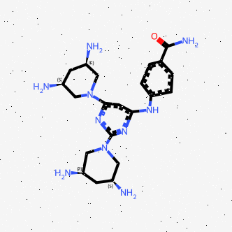 NC(=O)c1ccc(Nc2cc(N3C[C@H](N)C[C@H](N)C3)nc(N3C[C@H](N)C[C@H](N)C3)n2)cc1